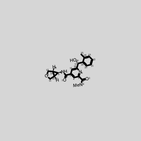 CNC(=O)c1cc(C(=O)N[C@H]2[C@@H]3COC[C@@H]32)cc([C@H](O)c2ccccc2C)n1